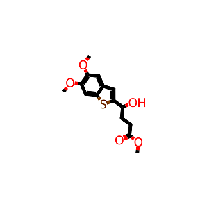 COC(=O)CCC(O)c1cc2cc(OC)c(OC)cc2s1